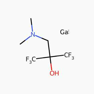 CN(C)CC(O)(C(F)(F)F)C(F)(F)F.[Ga]